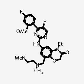 CCN1C(=O)COc2c(CN(C)CCNC)cc(Nc3ncc(F)c(-c4ccc(F)cc4OC)n3)cc21